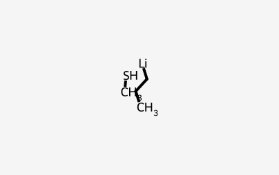 CS.[Li][CH2]CC